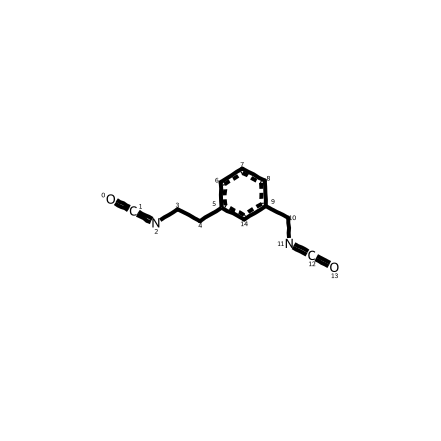 O=C=NCCc1cccc(CN=C=O)c1